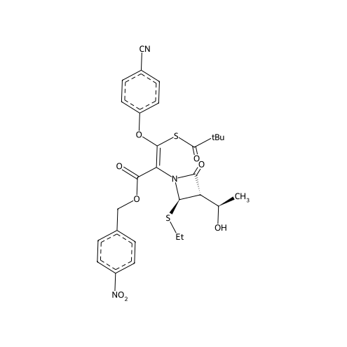 CCS[C@@H]1[C@@H]([C@@H](C)O)C(=O)N1C(C(=O)OCc1ccc([N+](=O)[O-])cc1)=C(Oc1ccc(C#N)cc1)SC(=O)C(C)(C)C